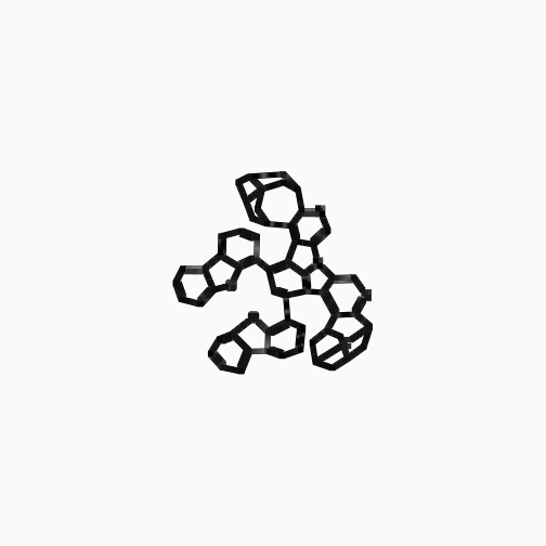 c1ccc2c(c1)oc1c(-c3cc(-c4cccc5c4oc4ccccc45)c4c5c6c(ncc5n5c7cnc8c(c7c3c45)C3CC4CC(CC8C4)C3)C3CC4CC5CC6CC45C3)cccc12